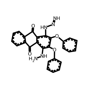 N=NNc1c(Oc2ccccc2)c(Oc2ccccc2)c(NN)c2c1C(=O)c1ccccc1C2=O